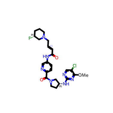 COc1nc(N[C@@H]2CCN(C(=O)c3ccc(NC(=O)/C=C/CN4CCC[C@@H](F)C4)cn3)C2)ncc1Cl